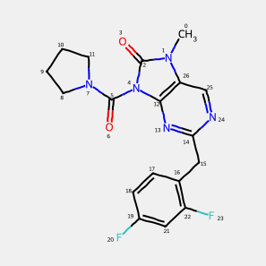 Cn1c(=O)n(C(=O)N2CCCC2)c2nc(Cc3ccc(F)cc3F)ncc21